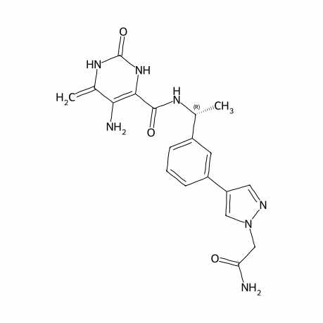 C=C1NC(=O)NC(C(=O)N[C@H](C)c2cccc(-c3cnn(CC(N)=O)c3)c2)=C1N